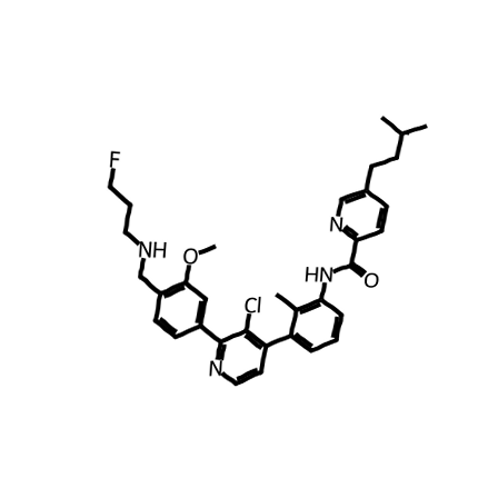 COc1cc(-c2nccc(-c3cccc(NC(=O)c4ccc(CC[C](C)C)cn4)c3C)c2Cl)ccc1CNCCCF